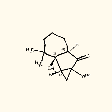 CCCC12C[C@@H]1[C@@]1(C)[C@@H](CCCC1(C)C)C2=O